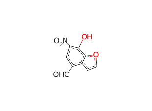 O=Cc1cc([N+](=O)[O-])c(O)c2occc12